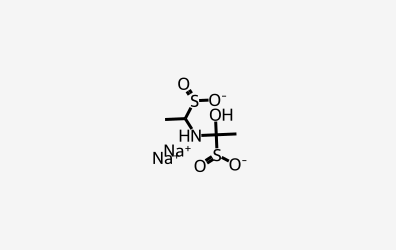 CC(NC(C)(O)S(=O)[O-])S(=O)[O-].[Na+].[Na+]